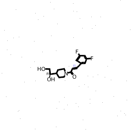 O=C(/C=C/c1cc(F)cc(F)c1)N1CCC([C@@H](O)CO)CC1